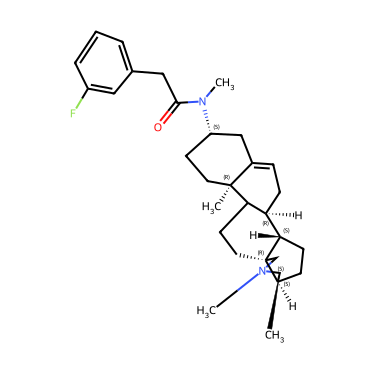 C[C@H]1[C@H]2CC[C@H]3[C@@H]4CC=C5C[C@@H](N(C)C(=O)Cc6cccc(F)c6)CC[C@]5(C)C4CC[C@]23CN1C